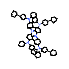 c1ccc(-c2ccc(N(c3ccccc3)c3ccc4c(c3)c3c(N(c5ccccc5)c5ccc(-c6ccccc6)cc5)ccc5c3n4c3ccc(N(c4ccccc4)c4ccc(-c6ccccc6)cc4)c4c6cc(N(c7ccccc7)c7ccc(-c8ccccc8)cc7)ccc6n5c43)cc2)cc1